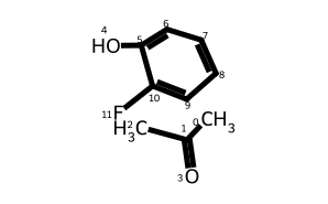 CC(C)=O.Oc1ccccc1F